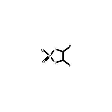 O=P1(Cl)OC(F)C(F)O1